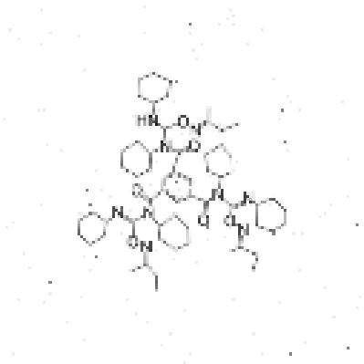 CC/C(C)=N/O/C(=N\C1CCCCC1)N(C(=O)c1cc(C(=O)N(/C(=N/C2CCCCC2)O/N=C(\C)CC)C2CCCCC2)cc(C(=O)N(C2CCCCC2)C(NC2CCCCC2)O/N=C(\C)CC)c1)C1CCCCC1